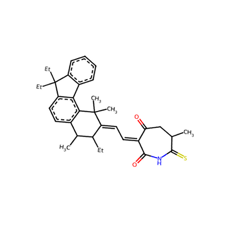 CCC1/C(=C\C=C2/C(=O)CC(C)C(=S)NC2=O)C(C)(C)c2c(ccc3c2-c2ccccc2C3(CC)CC)C1C